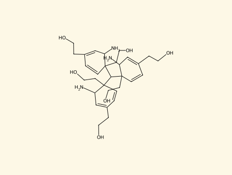 NC1C=C(CCO)C=CC1(CCO)C(C1(CCO)C=CC(CCO)=CC1N)C1(CCO)C=CC(CCO)=CC1N